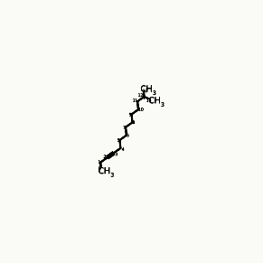 CCC#CCCCCCCCC[C](C)C